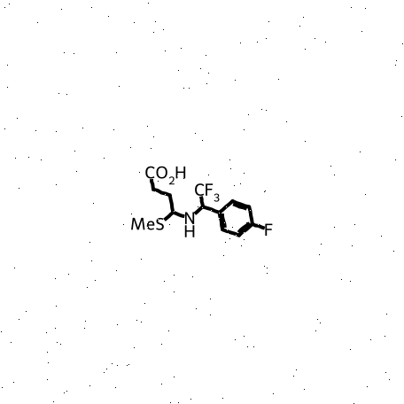 CSC(CCC(=O)O)NC(c1ccc(F)cc1)C(F)(F)F